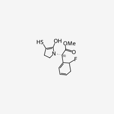 COC(=O)[C@H](C1=CC=CCC1F)N1CCC(S)=C1O